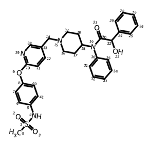 CS(=O)(=O)Nc1ccc(Oc2ccc(CN3CCC(N(C(=O)C(O)c4ccccc4)c4ccccc4)CC3)cn2)cc1